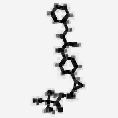 CC(C)(C)C(=O)ONC1CC1c1ccc(NC(=O)OCc2ccccc2)cc1